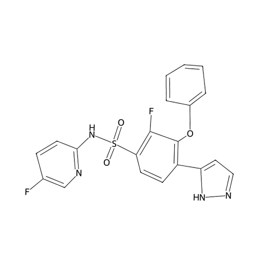 O=S(=O)(Nc1ccc(F)cn1)c1ccc(-c2ccn[nH]2)c(Oc2ccccc2)c1F